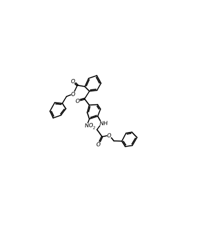 O=C(CNc1ccc(C(=O)c2ccccc2C(=O)OCc2ccccc2)cc1[N+](=O)[O-])OCc1ccccc1